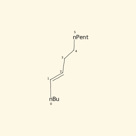 [CH2]CCCC=CCCCCCCC